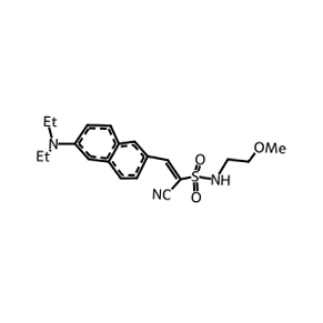 CCN(CC)c1ccc2cc(/C=C(\C#N)S(=O)(=O)NCCOC)ccc2c1